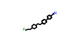 N#Cc1ccc(-c2ccc(CCC3CCC(CCCF)CC3)cc2)cc1